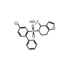 O=C(O)C1c2ccoc2CCN1S(=O)(=O)c1cc(Cl)ccc1-c1ccccc1